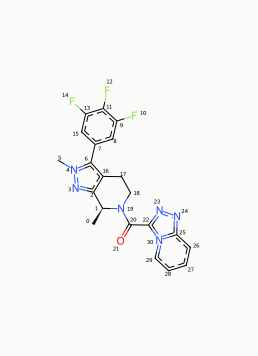 C[C@H]1c2nn(C)c(-c3cc(F)c(F)c(F)c3)c2CCN1C(=O)c1nnc2ccccn12